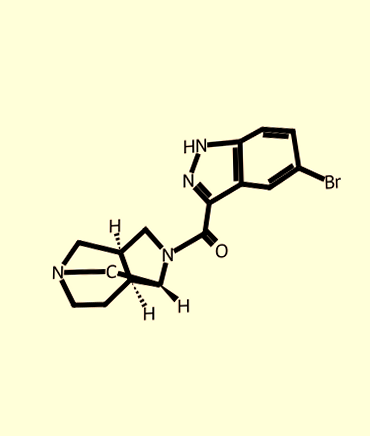 O=C(c1n[nH]c2ccc(Br)cc12)N1C[C@@H]2CN3CC[C@@H]2[C@@H]1C3